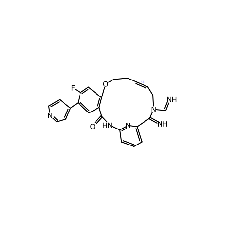 N=CN1C/C=C\CCOc2cc(F)c(-c3ccncc3)cc2C(=O)Nc2cccc(n2)C1=N